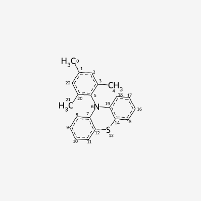 Cc1cc(C)c(N2c3ccccc3Sc3ccccc32)c(C)c1